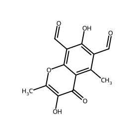 Cc1oc2c(C=O)c(O)c(C=O)c(C)c2c(=O)c1O